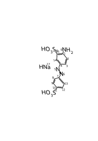 Nc1ccc(/N=N/c2ccc(S(=O)(=O)O)cc2)cc1S(=O)(=O)O.[NaH]